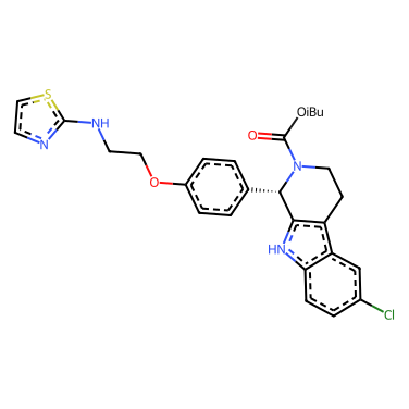 CC(C)COC(=O)N1CCc2c([nH]c3ccc(Cl)cc23)[C@@H]1c1ccc(OCCNc2nccs2)cc1